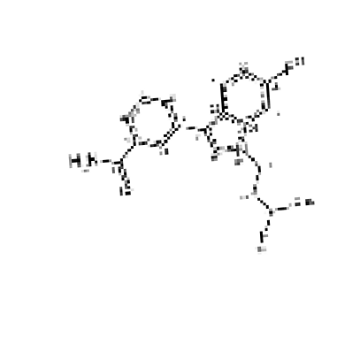 NC(=S)c1cccc(-c2cn(CCC(F)F)c3cc(F)ccc23)c1